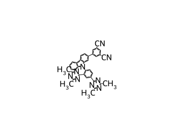 Cc1nc(C)nc(-c2ccc(-n3c4ccccc4c4ccc(-c5cc(C#N)cc(C#N)c5)cc43)c(-c3nc(C)nc(C)n3)c2)n1